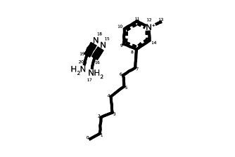 CCCCCCCCc1ccc[n+](C)c1.N#CN.N#CN